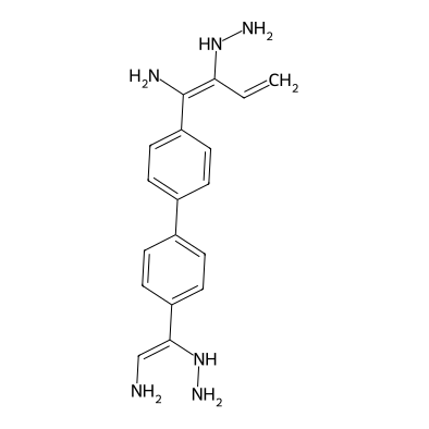 C=C/C(NN)=C(/N)c1ccc(-c2ccc(/C(=C/N)NN)cc2)cc1